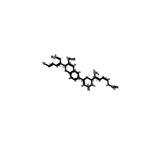 C=C/C(=C\C=C\F)N1Cc2ccc(C3=NNOC(/C(C)=C/C=C\COC)C3)cc2N=C1CCCCC